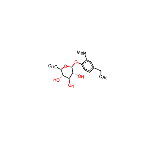 CNc1cc(COC(C)=O)ccc1O[C@@H]1O[C@H](C=O)[C@@H](O)[C@H](O)[C@H]1O